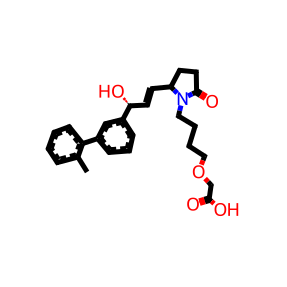 Cc1ccccc1-c1cccc([C@H](O)/C=C/C2CCC(=O)N2CCCCOCC(=O)O)c1